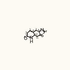 O=C1CCC2CC3N=CSC3CC2N1